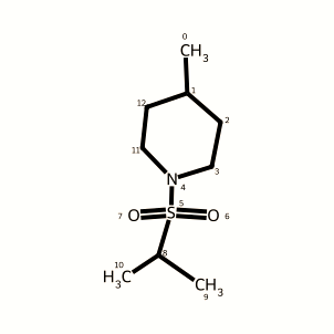 CC1CCN(S(=O)(=O)C(C)C)CC1